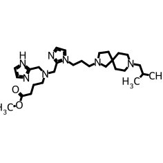 COC(=O)CCCN(Cc1ncc[nH]1)Cc1nccn1CCCN1CCC2(CCN(CC(C)C)CC2)C1